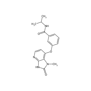 CC(C)NC(=O)c1cccc(Oc2ccnc3[nH]c(=O)n(C)c23)c1